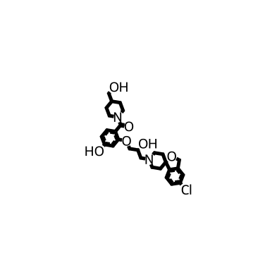 O=C(c1ccc(O)cc1OC[C@@H](O)CN1CCC2(CC1)OCc1cc(Cl)ccc12)N1CCC(CO)CC1